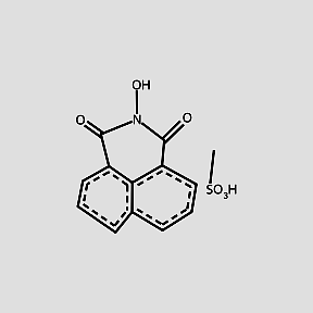 CS(=O)(=O)O.O=C1c2cccc3cccc(c23)C(=O)N1O